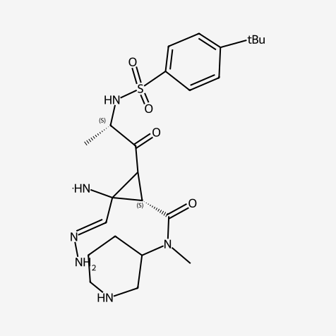 C[C@H](NS(=O)(=O)c1ccc(C(C)(C)C)cc1)C(=O)C1[C@H](C(=O)N(C)C2CCCNC2)C1([NH])C=NN